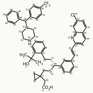 CC(C)(O)c1ccccc1CC[C@@H](SCC1(CC(=O)O)CC1)c1cccc(/C=C/c2ccc3ccc(Cl)cc3n2)c1.FC(F)(F)c1ccc(C(c2ccccc2)N2CCNCC2)cc1